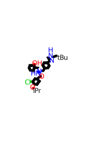 CC(C)Oc1ccc(C(=O)NN(Cc2ccc(-c3c[nH]c(CC(C)(C)C)n3)cc2)Cc2ccccc2O)cc1Cl